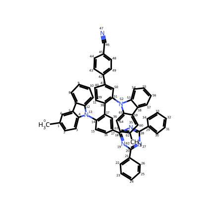 Cc1ccc2c(c1)c1ccccc1n2-c1ccc(-c2nc(-c3ccccc3)nc(-c3ccccc3)n2)cc1-c1ccc(-c2ccc(C#N)cc2)cc1-n1c2ccccc2c2cc(C)ccc21